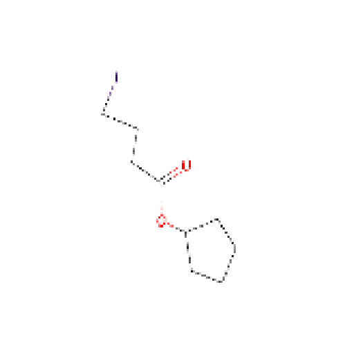 O=C(CCCI)OC1CCCC1